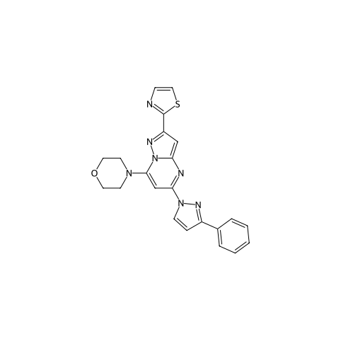 c1ccc(-c2ccn(-c3cc(N4CCOCC4)n4nc(-c5nccs5)cc4n3)n2)cc1